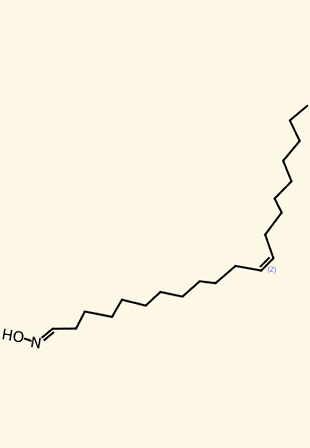 CCCCCCCC/C=C\CCCCCCCCCCC=NO